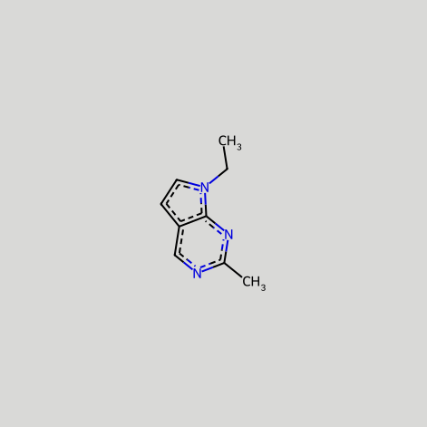 CCn1ccc2cnc(C)nc21